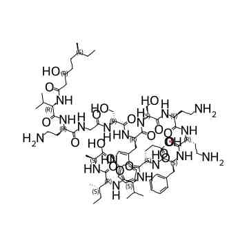 CC[C@H](C)CC[C@@H](O)CC(=O)N[C@@H](C(=O)N[C@H](CCN)C(=O)NCC(=O)N[C@H](CO)C(=O)N[C@H](Cc1c[nH]c2ccccc12)C(=O)N[C@@H](CO)C(=O)N[C@@H](CCN)C(=O)N[C@H](CCN)C(=O)N[C@@H](Cc1ccccc1)C(=O)N[C@@H](CCC(=O)O)C(=O)N[C@H](C(=O)N[C@@H](C(=O)N[C@@H](C)C(=O)O)[C@@H](C)CC)C(C)C)C(C)C